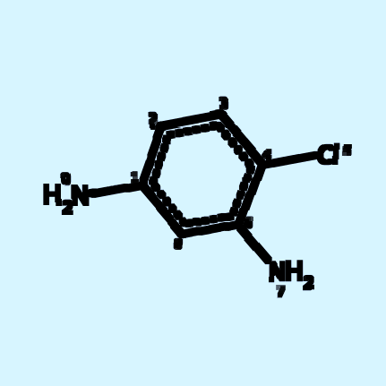 Nc1[c]cc(Cl)c(N)c1